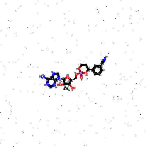 C[C@@]1(O)[C@H](O)[C@@H](COP2(=O)OCC[C@@H](c3cccc(C#N)c3)O2)O[C@H]1n1cnc2c(N)ncnc21